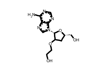 Nc1ncnc2c1ncn2[C@@H]1O[C@H](CO)CC1OCCO